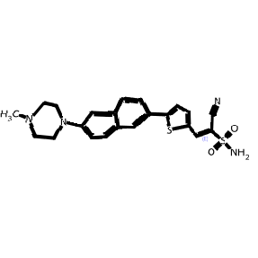 CN1CCN(c2ccc3cc(-c4ccc(/C=C(\C#N)S(N)(=O)=O)s4)ccc3c2)CC1